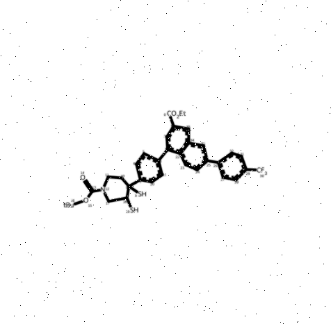 CCOC(=O)c1cc(-c2ccc(C3(S)CCN(C(=O)OC(C)(C)C)CC3S)cc2)c2ccc(-c3ccc(C(F)(F)F)cc3)cc2c1